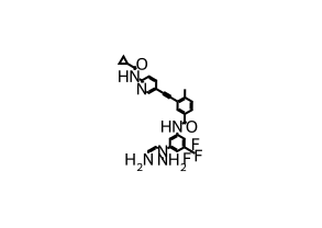 Cc1ccc(C(=O)Nc2cc(N(N)/C=C\N)cc(C(F)(F)F)c2)cc1C#Cc1ccc(NC(=O)C2CC2)nc1